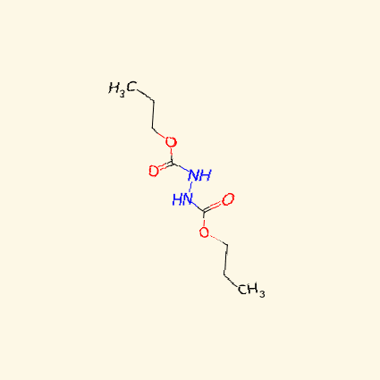 CCCOC(=O)NNC(=O)OCCC